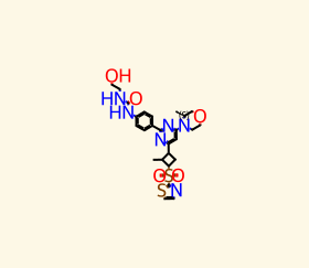 CC1C(c2cc(N3CCOC[C@@H]3C)nc(-c3ccc(NC(=O)NCCO)cc3)n2)CC1S(=O)(=O)c1nccs1